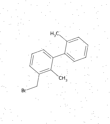 Cc1ccccc1-c1cccc(CBr)c1C